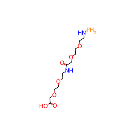 O=C(O)COCCOCCNC(=O)COCCOCCNP